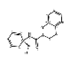 CC[C@]1(NC(=O)C2CCc3ccccc3O2)C=CC=CC1